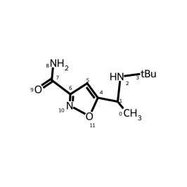 CC(NC(C)(C)C)c1cc(C(N)=O)no1